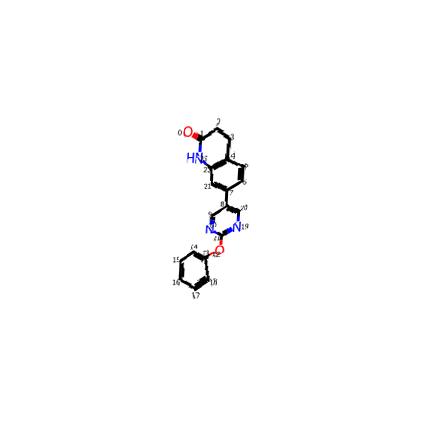 O=C1CCc2ccc(-c3cnc(Oc4ccccc4)nc3)cc2N1